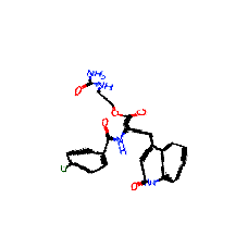 NC(=O)NCCOC(=O)C(Cc1cc(=O)[nH]c2ccccc12)NC(=O)c1ccc(Cl)cc1